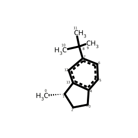 C[C@H]1C[C]c2ccc(C(C)(C)C)cc21